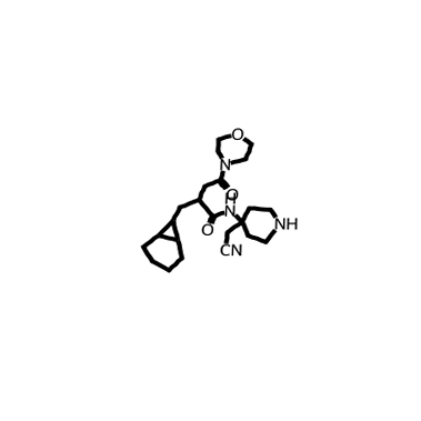 N#CCC1(NC(=O)C(CC(=O)N2CCOCC2)CC2C3CCCCC32)CCNCC1